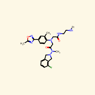 CCNCCNC(=O)CN(CC(=O)N(C)N1Cc2cccc(F)c2C1)c1ccc(-c2noc(C)n2)cc1C